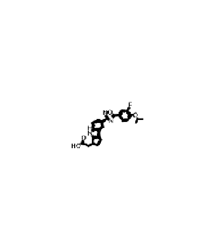 CC(C)Oc1ccc(-c2nc(-c3ccc4[nH]c5c(c4c3)CCC5CC(=O)O)no2)cc1F